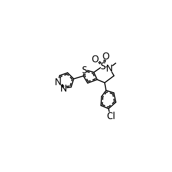 CN1CC(c2ccc(Cl)cc2)c2cc(-c3ccnnc3)sc2S1(=O)=O